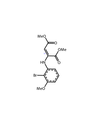 COC(=O)/C=C(/Nc1cccc(OC)c1Br)C(=O)OC